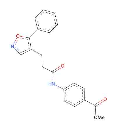 COC(=O)c1ccc(NC(=O)CCc2cnoc2-c2ccccc2)cc1